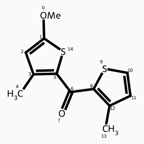 COc1cc(C)c(C(=O)c2sccc2C)s1